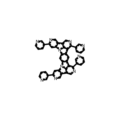 c1cncc(-c2cc3c(cn2)c2cnc(-c4cccnc4)c4c5cc6c7c(-c8cccnc8)ncc8c9cnc(-c%10cccnc%10)cc9n(c6cc5n3c24)c87)c1